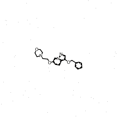 c1ccc(COc2cnn3cc(OCCN4CCOCC4)ccc23)cc1